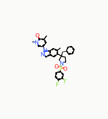 Cc1cc2c(cnn2-c2cc(C)c(=O)n(C)c2)cc1C1(Cc2ccccc2)CCN(S(=O)(=O)c2ccc(F)c(F)c2)C1